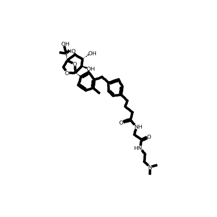 Cc1ccc([C@]23OC[C@](C(C)(C)O)(O2)[C@@H](O)[C@H](O)[C@H]3O)cc1Cc1ccc(CCCC(=O)NCC(=O)NCCN(C)C)cc1